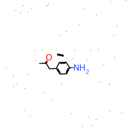 C=C.CC(=O)Cc1ccc(N)cc1